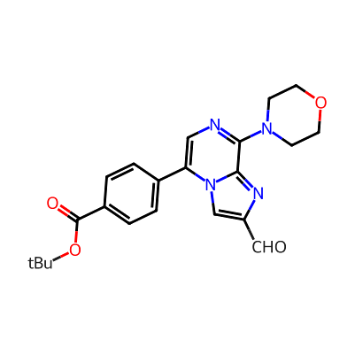 CC(C)(C)OC(=O)c1ccc(-c2cnc(N3CCOCC3)c3nc(C=O)cn23)cc1